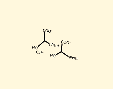 CCCCCC(O)C(=O)[O-].CCCCCC(O)C(=O)[O-].[Ca+2]